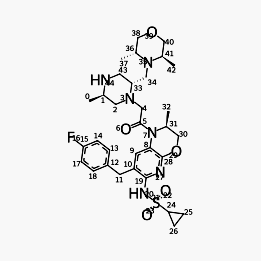 C[C@@H]1CN(CC(=O)N2c3cc(Cc4ccc(F)cc4)c(NS(=O)(=O)C4CC4)nc3OC[C@@H]2C)[C@@H](CN2[C@H](C)COC[C@H]2C)CN1